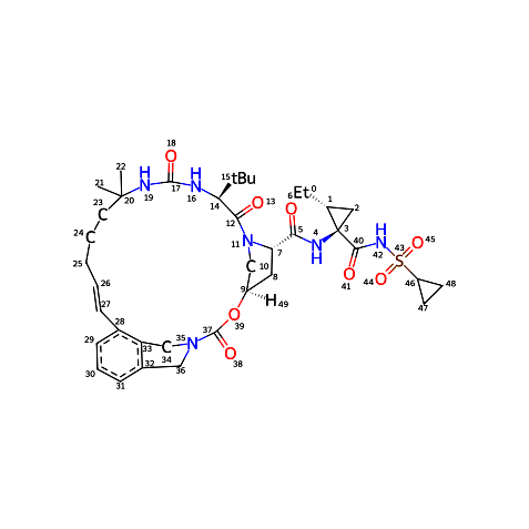 CC[C@@H]1C[C@]1(NC(=O)[C@@H]1C[C@@H]2CN1C(=O)[C@H](C(C)(C)C)NC(=O)NC(C)(C)CCC/C=C/c1cccc3c1CN(C3)C(=O)O2)C(=O)NS(=O)(=O)C1CC1